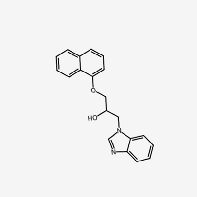 OC(COc1cccc2ccccc12)Cn1cnc2ccccc21